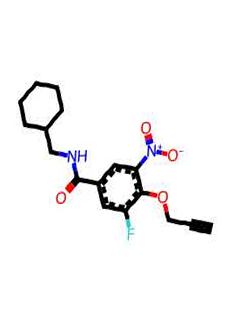 C#CCOc1c(F)cc(C(=O)NCC2CCCCC2)cc1[N+](=O)[O-]